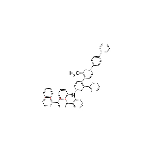 Cc1cc(-c2ccc(-c3ccccc3)cc2)ccc1-c1ccc(N(c2ccc(-c3ccccc3)cc2)c2ccccc2-c2ccc(-c3ccccc3)cc2)cc1-c1ccccc1